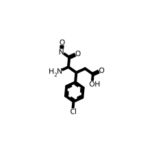 NC(C(=O)N=O)C(CC(=O)O)c1ccc(Cl)cc1